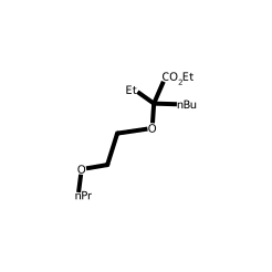 CCCCC(CC)(OCCOCCC)C(=O)OCC